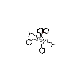 CC(C)CC[O][Sn]([CH2]Cc1ccccc1)([CH2]Cc1ccccc1)[O][Sn]([CH2]Cc1ccccc1)([CH2]Cc1ccccc1)[O]CCC(C)C